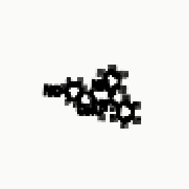 NC(c1ccc(O)cc1O)C1CCN1C(c1ccccc1)c1ccccc1